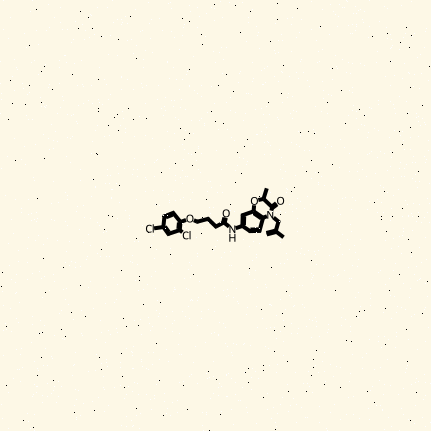 C=C(C)CN1C(=O)C(C)Oc2cc(NC(=O)CCCOc3ccc(Cl)cc3Cl)ccc21